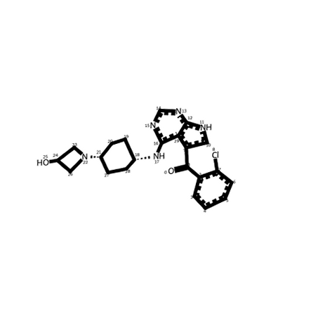 O=C(c1ccccc1Cl)c1c[nH]c2ncnc(N[C@H]3CC[C@@H](N4CC(O)C4)CC3)c12